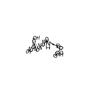 Cc1cc2c(N3CCCc4nc(-c5ccc(C(=O)NCC#Cc6cc7c(C8CCC(=O)NC8=O)cccc7o6)nc5)ncc43)nc(N3CCC(C)(O)CC3)cc2n(C)c1=O